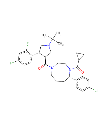 CC(C)(C)N1C[C@@H](C(=O)N2CCC[C@@H](c3ccc(Cl)cc3)N(C(=O)C3CC3)CC2)[C@H](c2ccc(F)cc2F)C1